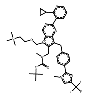 CN(Cc1c(Cc2ccc(-c3nc(C(F)(F)F)cn3C)cc2)c2nc(-c3cccnc3C3CC3)ncc2n1COCC[Si](C)(C)C)C(=O)OC(C)(C)C